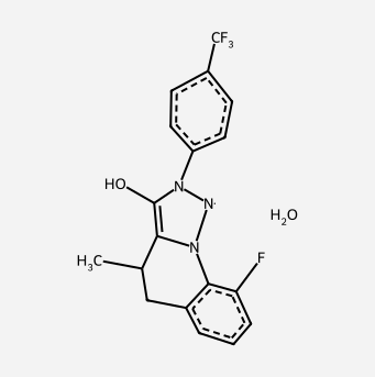 CC1Cc2cccc(F)c2N2[N]N(c3ccc(C(F)(F)F)cc3)C(O)=C12.O